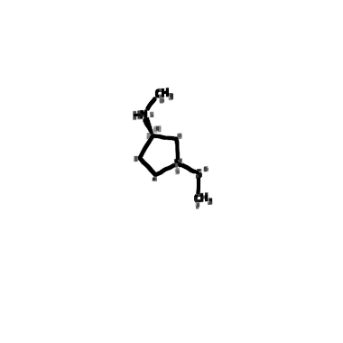 CN[C@@H]1CCN(SC)C1